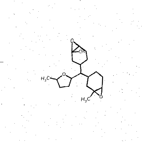 CC1CCC(C(C2CCC3OC3(C)C2)C2CCC3OC3(C)C2)O1